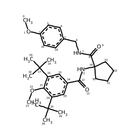 COc1ccc(CNC(=O)C2(NC(=O)c3cc(C(C)(C)C)c(OC)c(C(C)(C)C)c3)CCCC2)cc1